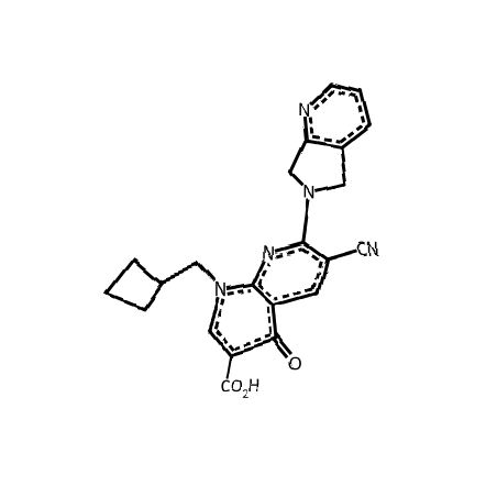 N#Cc1cc2c(=O)c(C(=O)O)cn(CC3CCC3)c2nc1N1Cc2cccnc2C1